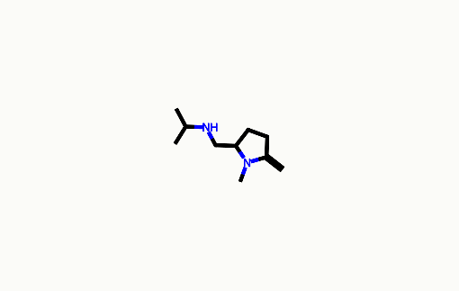 C=C1CCC(CNC(C)C)N1C